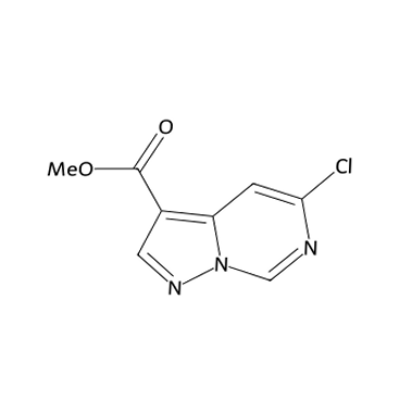 COC(=O)c1cnn2cnc(Cl)cc12